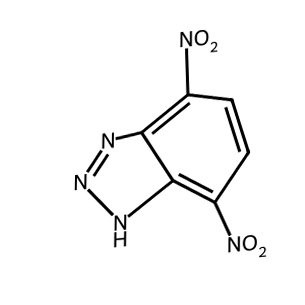 O=[N+]([O-])c1ccc([N+](=O)[O-])c2[nH]nnc12